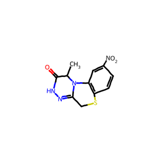 CC1C(=O)NN=C2CSc3ccc([N+](=O)[O-])cc3N21